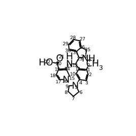 Cc1ccc(N2CCCC2)cc1C(Nc1cnccc1C(=O)O)C1NCc2ccccc21